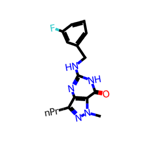 CCCc1nn(C)c2c(=O)[nH]c(NCc3cccc(F)c3)nc12